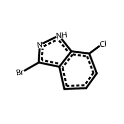 Clc1cccc2c(Br)n[nH]c12